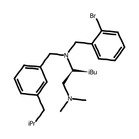 CC[C@H](C)[C@@H](CN(C)C)N(Cc1cccc(CC(C)C)c1)Cc1ccccc1Br